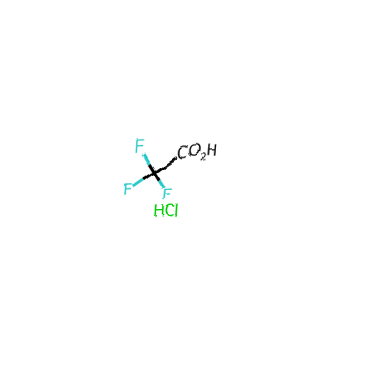 Cl.O=C(O)C(F)(F)F